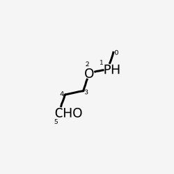 CPOCCC=O